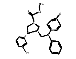 CC(C)c1cccc([C@@H]2CN(C(=O)OC(C)(C)C)C[C@H]2CN(c2ccccc2)c2ccc(Cl)cc2)c1